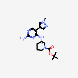 Cn1cc(-c2cnc(N)nc2N[C@H]2CCCN(C(=O)OC(C)(C)C)C2)cn1